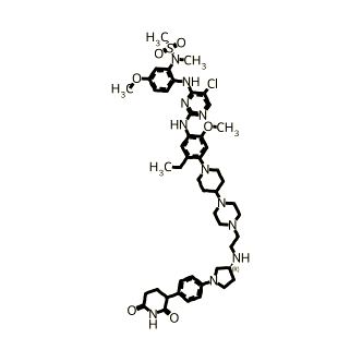 CCc1cc(Nc2ncc(Cl)c(Nc3ccc(OC)cc3N(C)S(C)(=O)=O)n2)c(OC)cc1N1CCC(N2CCN(CCN[C@@H]3CCN(c4ccc(C5CCC(=O)NC5=O)cc4)C3)CC2)CC1